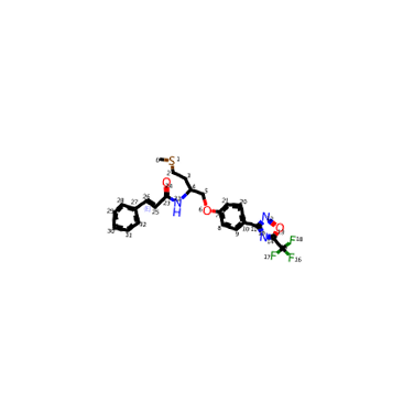 CSCCC(COc1ccc(-c2noc(C(F)(F)F)n2)cc1)NC(=O)/C=C/c1ccccc1